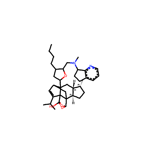 CCCCC1CC(C23C[C@@H]4[C@H](C)CC[C@H]4C4(C=O)CC2C=C(C(C)C)C34C(=O)O)OC1CN(C)C1CCc2cccnc21